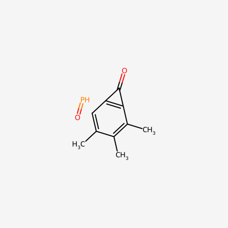 Cc1cc2c(=O)c2c(C)c1C.O=P